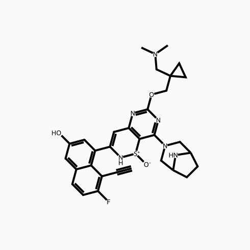 C#Cc1c(F)ccc2cc(O)cc(C3=Cc4nc(OCC5(CN(C)C)CC5)nc(N5CC6CCC(C5)N6)c4[S+]([O-])N3)c12